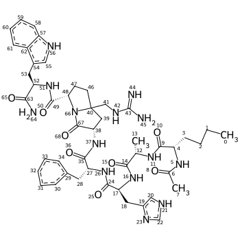 CCCC[C@H](NC(C)=O)C(=O)N[C@@H](C)C(=O)N[C@@H](Cc1c[nH]cn1)C(=O)N[C@H](Cc1ccccc1)C(=O)N[C@H]1CC2(CNC(=N)N)CC[C@@H](C(=O)N[C@H](Cc3c[nH]c4ccccc34)C(N)=O)N2C1=O